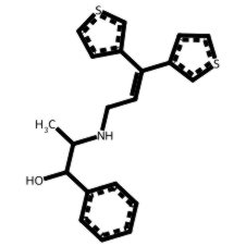 CC(NCC=C(c1ccsc1)c1ccsc1)C(O)c1ccccc1